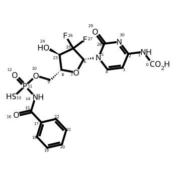 O=C(O)Nc1ccn([C@@H]2O[C@H](COP(=O)(S)NC(=O)c3ccccc3)[C@@H](O)C2(F)F)c(=O)n1